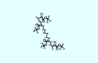 CC(CCN(CCCCCCCN(CCC(C)NC(=O)OC(C)(C)C)C(=O)OC(C)(C)C)C(=O)OC(C)(C)C)NC(=O)OC(C)(C)C